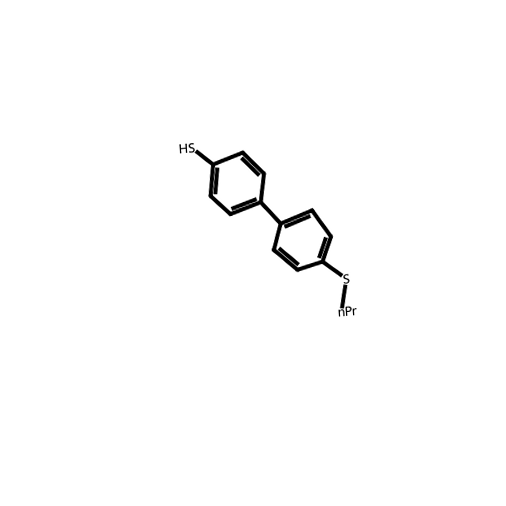 CCCSc1ccc(-c2ccc(S)cc2)cc1